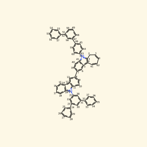 C1=CCc2c(c3cc(-c4ccc5c(c4)c4ccccc4n5-c4cc(-c5ccccc5)cc(-c5ccccc5)c4)ccc3n2-c2ccc(-c3cccc(-c4ccccc4)c3)cc2)C=C1